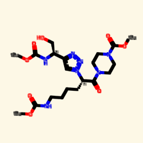 CC(C)(C)OC(=O)NCCCC[C@@H](C(=O)N1CCN(C(=O)OC(C)(C)C)CC1)n1cc([C@H](CO)NC(=O)OC(C)(C)C)nn1